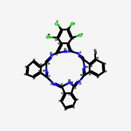 Clc1c(Cl)c(Cl)c2c3nc4nc(nc5[nH]c(nc6nc(nc([nH]3)c2c1Cl)-c1ccccc1-6)c1ccccc51)-c1ccc[c]([Ti])c1-4